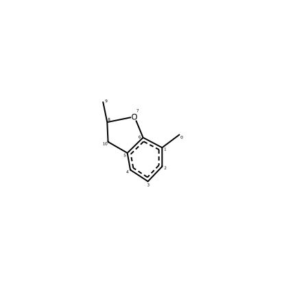 Cc1cccc2c1OC(C)C2